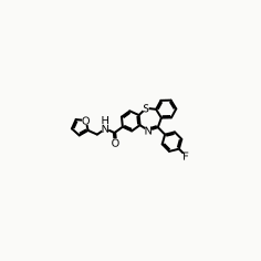 O=C(NCc1ccco1)c1ccc2c(c1)N=C(c1ccc(F)cc1)c1ccccc1S2